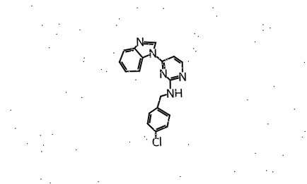 Clc1ccc(CNc2nccc(-n3cnc4ccccc43)n2)cc1